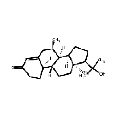 C[C@@H]1CC2=CC(=O)CC[C@@H]2[C@H]2CC[C@@]3(C)[C@H](CC[C@H]3C(C)(C)O)[C@@H]21